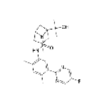 Cc1cc(F)c(NC(=O)N2C3CC(C)CC2(C(C)(C)O)C3)cc1-c1ncc(F)cn1